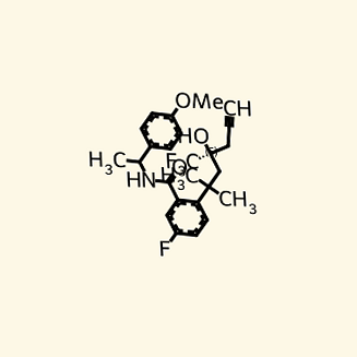 C#CC[C@](O)(CC(C)(C)c1ccc(F)cc1C(=O)NC(C)c1ccc(OC)cc1)C(F)(F)F